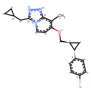 Cc1c(OC[C@H]2C[C@@H]2c2ccc(F)cc2)ccn2c(CC3CC3)nnc12